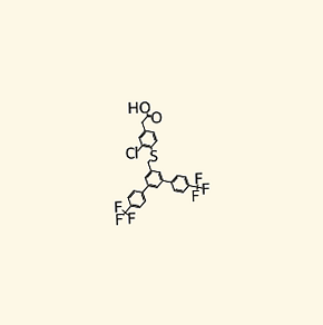 O=C(O)Cc1ccc(SCc2cc(-c3ccc(C(F)(F)F)cc3)cc(-c3ccc(C(F)(F)F)cc3)c2)c(Cl)c1